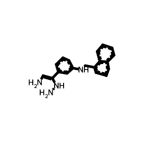 N/C=C(\NN)c1cccc(NCc2cccc3ccccc23)c1